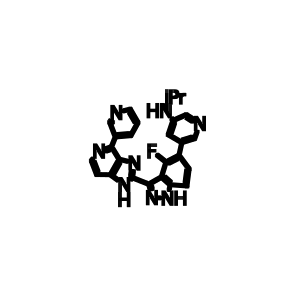 CC(C)Nc1cncc(-c2ccc3[nH]nc(-c4nc5c(-c6cccnc6)nccc5[nH]4)c3c2F)c1